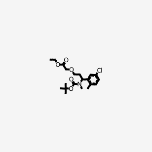 CCOC(=O)COCCC(c1cc(Cl)ccc1C)N(C)C(=O)OC(C)(C)C